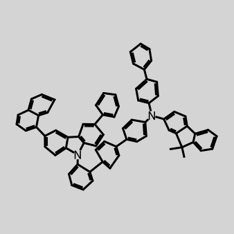 CC1(C)c2ccccc2-c2ccc(N(c3ccc(-c4ccccc4)cc3)c3ccc(-c4ccc(-c5ccccc5-n5c6ccc(-c7ccccc7)cc6c6cc(-c7cccc8ccccc78)ccc65)cc4)cc3)cc21